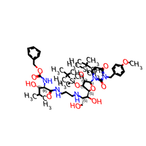 COc1ccc(Cn2c(=O)ccn([C@H]3O[C@@H](C(O)[C@H](CO)NCCCNC(=O)[C@H](NC(=O)OCc4ccccc4)[C@@H](O)C(C)C)[C@H](O[Si](C)(C)C(C)(C)C)[C@@H]3O[Si](C)(C)C(C)(C)C)c2=O)cc1